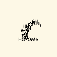 COc1cc(O)c(F)c(N2Cc3cnc(NC4CCC(N(C)C)CC4)nc3N(C3CC3)C2=O)c1